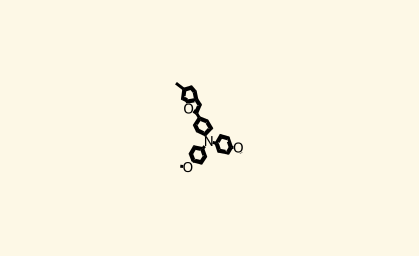 COc1ccc(N(c2ccc(OC)cc2)c2ccc(-c3cc4ccc(C)cc4o3)cc2)cc1